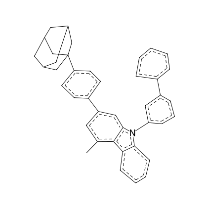 Cc1cc(-c2ccc(C34CC5CC(CC(C5)C3)C4)cc2)cc2c1c1ccccc1n2-c1cccc(-c2ccccc2)c1